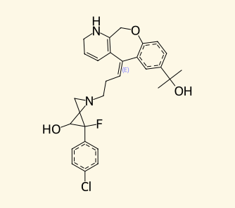 CC(C)(O)c1ccc2c(c1)/C(=C/CCN1CC13C(O)C3(F)c1ccc(Cl)cc1)C1=C(CO2)NCC=C1